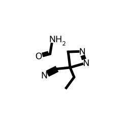 CCC1(C#N)CN=N1.NC=O